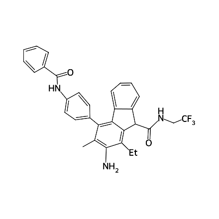 CCc1c(N)c(C)c(-c2ccc(NC(=O)c3ccccc3)cc2)c2c1C(C(=O)NCC(F)(F)F)c1ccccc1-2